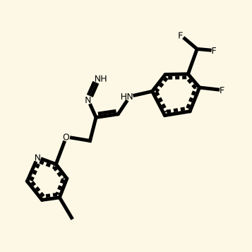 Cc1ccnc(OC/C(=C/Nc2ccc(F)c(C(F)F)c2)N=N)c1